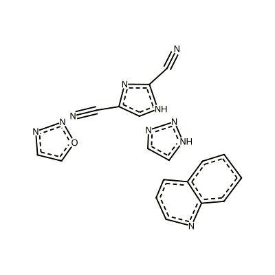 N#Cc1c[nH]c(C#N)n1.c1c[nH]nn1.c1ccc2ncccc2c1.c1conn1